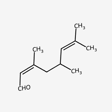 CC(C)=CC(C)CC(C)=CC=O